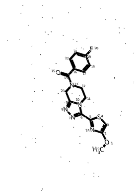 COc1csc(-c2nnc3n2CCN(C(=O)c2ccc(F)cc2)C3)n1